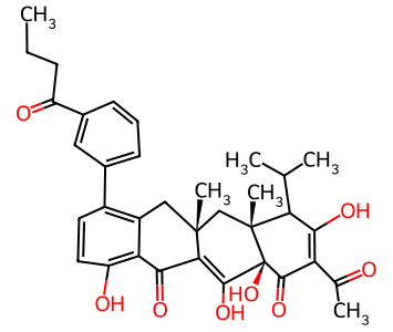 CCCC(=O)c1cccc(-c2ccc(O)c3c2C[C@]2(C)C[C@]4(C)C(C(C)C)C(O)=C(C(C)=O)C(=O)[C@]4(O)C(O)=C2C3=O)c1